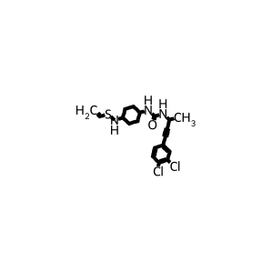 C=CSNC1CCC(NC(=O)NC(C)C#Cc2ccc(Cl)c(Cl)c2)CC1